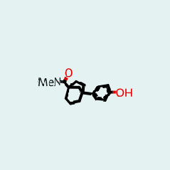 CNC(=O)C12CCCC(c3ccc(O)cc3)(CC1)C2